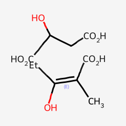 CC/C(O)=C(/C)C(=O)O.O=C(O)CC(O)C(=O)O